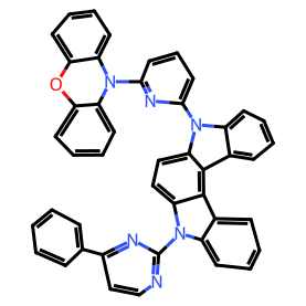 c1ccc(-c2ccnc(-n3c4ccccc4c4c5c6ccccc6n(-c6cccc(N7c8ccccc8Oc8ccccc87)n6)c5ccc43)n2)cc1